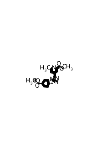 COC(=O)c1cc(-c2nnn(C[C@H]3CC[C@H](C(=O)OC)CC3)n2)cc(C)n1